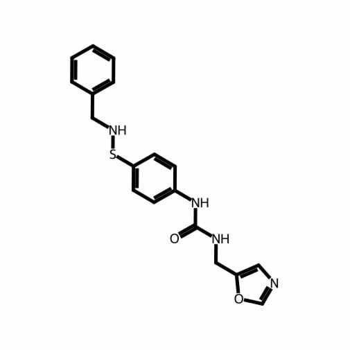 O=C(NCc1cnco1)Nc1ccc(SNCc2ccccc2)cc1